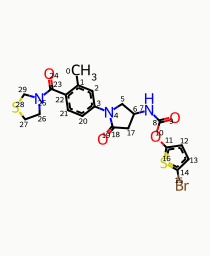 Cc1cc(N2CC(NC(=O)Oc3ccc(Br)s3)CC2=O)ccc1C(=O)N1CCSC1